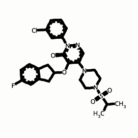 CC(C)S(=O)(=O)N1CCN(c2cnn(-c3cccc(Cl)c3)c(=O)c2OC2Cc3ccc(F)cc3C2)CC1